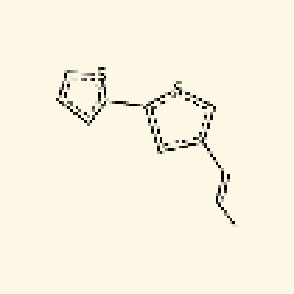 C/C=C/c1csc(-c2cccs2)c1